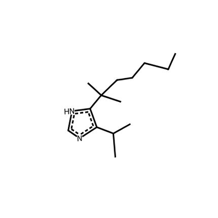 CCCCCC(C)(C)c1[nH]cnc1C(C)C